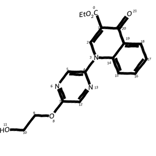 CCOC(=O)c1cn(-c2cnc(OCCO)cn2)c2ccccc2c1=O